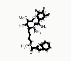 COC(CO)C(O)C(CCCCN(C)C(=O)c1cc2ccccc2s1)N(N)/C=C(\N)c1cc(F)c(F)c(F)c1